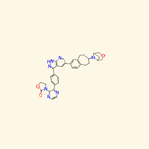 O=C1OCCN1c1nccnc1-c1ccc(-c2n[nH]c3ncc(-c4ccc5c(c4)CC[C@@H](N4C6COCC4C6)CC5)cc23)cc1